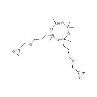 C[SiH]1O[Si](C)(C)O[Si](C)(CCCOCC2CO2)O[Si](C)(CCCOCC2CO2)O1